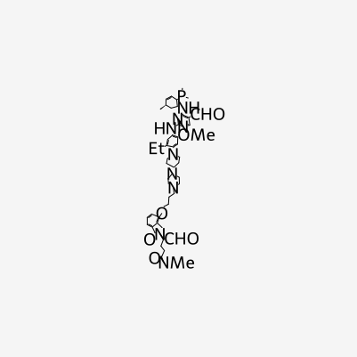 CCc1cc(Nc2ncc(C=O)c(NC3C[C@@H](C)C=CC3P(C)C)n2)c(OC)cc1N1CCC(N2CCN(CCCCOc3cccc4c3CN(C(C=O)CCC(=O)NC)C4=O)CC2)CC1